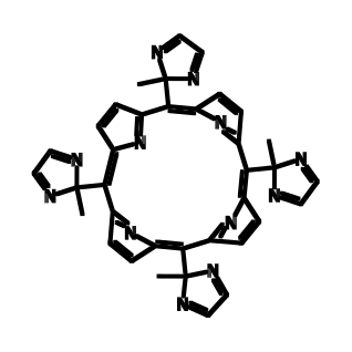 CC1(C2=C3C=CC(=N3)C(C3(C)N=CC=N3)=C3C=CC(=N3)C(C3(C)N=CC=N3)=C3C=CC(=N3)C(C3(C)N=CC=N3)=C3C=CC2=N3)N=CC=N1